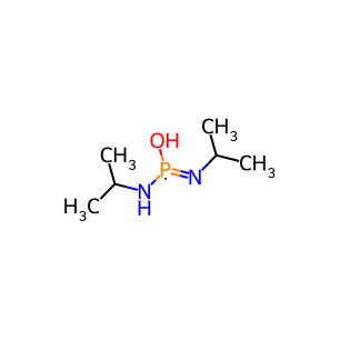 CC(C)/N=[P](\O)NC(C)C